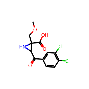 COCC1(C(=O)O)NC1C(=O)c1ccc(Cl)c(Cl)c1